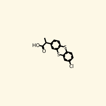 CC(C(=O)O)c1ccc2c(c1)Sc1cc(Cl)ccc1S2